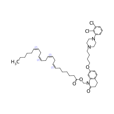 CCCCC/C=C\C/C=C\C/C=C\C/C=C\CCCCCC(=O)OCN1C(=O)CCc2ccc(OCCCCN3CCN(c4cccc(Cl)c4Cl)CC3)cc21